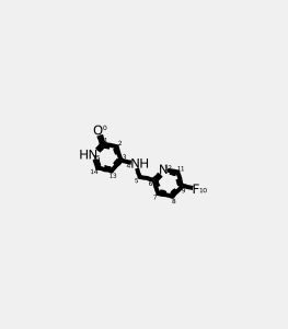 O=c1cc(NCc2ccc(F)cn2)cc[nH]1